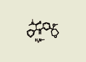 CN.COC1(c2cccc(NC(C(=S)N(C)C)c3ccccc3)c2)CCOCC1